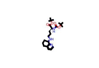 CC(C)(C)OC(=O)N[C@@H](CCCNC1CCCc2cccnc21)C(=O)OC(C)(C)C